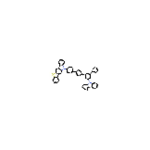 c1ccc(-c2cc(-c3ccc(-c4ccc(-n5c6ccccc6c6cc7sc8ccccc8c7cc65)cc4)cc3)cc(-n3c4ccccc4c4ccccc43)c2)cc1